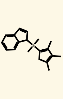 CC1=C(C)C(C)=C([Si](C)(C)C2C=Cc3ccccc32)C1